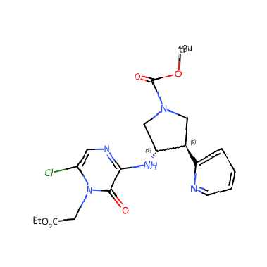 CCOC(=O)Cn1c(Cl)cnc(N[C@@H]2CN(C(=O)OC(C)(C)C)C[C@H]2c2ccccn2)c1=O